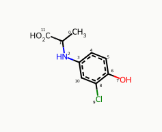 CC(Nc1ccc(O)c(Cl)c1)C(=O)O